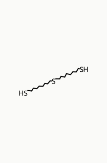 SCCCCCCCCCSCCCCCCCCCS